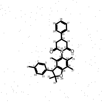 Cc1ccc(C2c3c(C)c(N4C(=O)CC(c5ccccc5)CC4=O)c(C)c(C)c3OC2(C)C)cc1